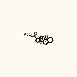 CC(=O)OCC(=O)C1=CC[C@H]2[C@@H]3CC=C4CCCC[C@]4(C)[C@H]3CC[C@]12C